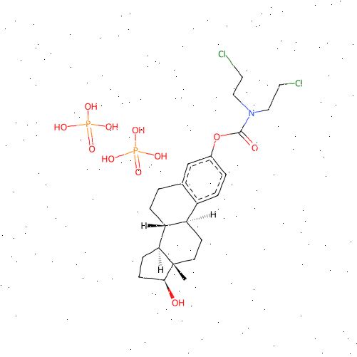 C[C@]12CC[C@@H]3c4ccc(OC(=O)N(CCCl)CCCl)cc4CC[C@H]3[C@@H]1CC[C@@H]2O.O=P(O)(O)O.O=P(O)(O)O